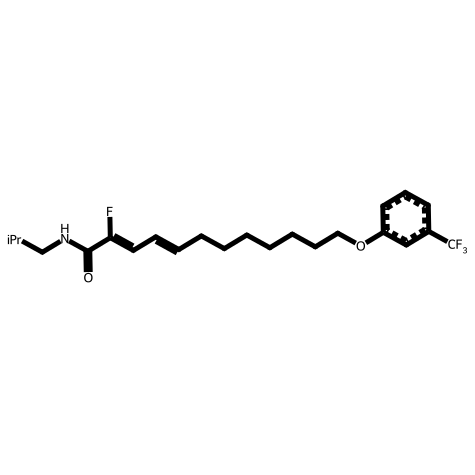 CC(C)CNC(=O)/C(F)=C/C=C/CCCCCCCOc1cccc(C(F)(F)F)c1